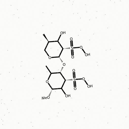 CO[C@@H]1OC(C)[C@H](O[C@@H]2OC[C@@H](C)C(O)[C@@H]2S(=O)(=O)OO)[C@H](S(=O)(=O)OO)C1O